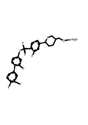 CCCCCCCOCC1CCC(c2ccc(C(F)(F)Oc3ccc(-c4ccc(F)c(F)c4)c(F)c3)c(F)c2)SC1